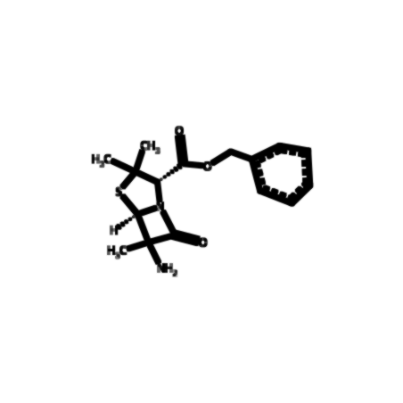 CC1(C)S[C@H]2N(C(=O)C2(C)N)[C@H]1C(=O)OCc1ccccc1